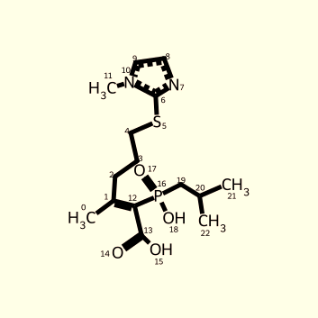 CC(CCCSc1nccn1C)=C(C(=O)O)P(=O)(O)CC(C)C